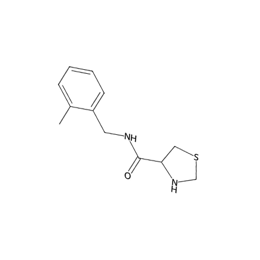 Cc1ccccc1CNC(=O)C1CSCN1